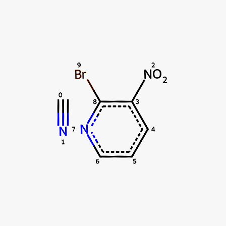 C#N.O=[N+]([O-])c1cccnc1Br